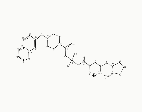 CC(C)(CNC(=O)CC(CC1CCCC1)N(O)C=O)CC(=O)N1CCN(Cc2ccc3ccccc3c2)CC1